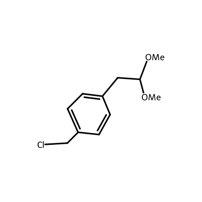 COC(Cc1ccc(CCl)cc1)OC